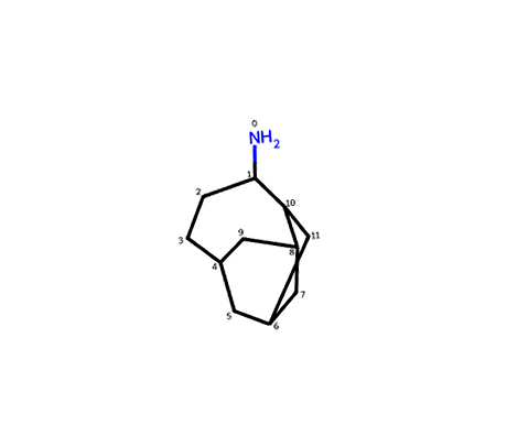 NC1CCC2CC3CC(C2)C1C3